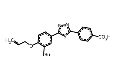 C=CCOc1ccc(-c2nnc(-c3ccc(C(=O)O)cc3)s2)cc1C(C)(C)C